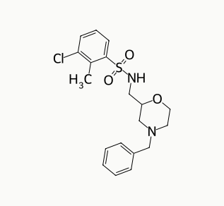 Cc1c(Cl)cccc1S(=O)(=O)NCC1CN(Cc2ccccc2)CCO1